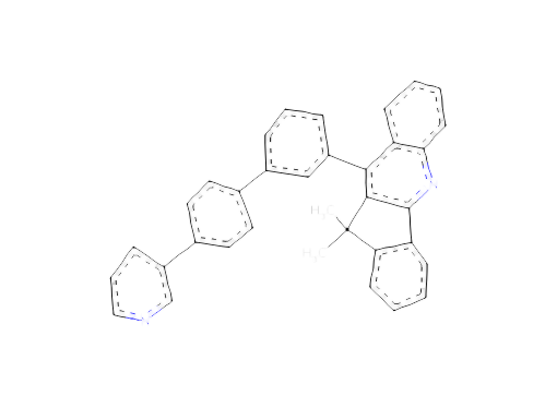 CC1(C)c2ccccc2-c2nc3ccccc3c(-c3cccc(-c4ccc(-c5cccnc5)cc4)c3)c21